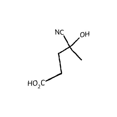 CC(O)(C#N)CCC(=O)O